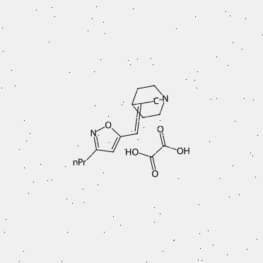 CCCc1cc(/C=C2/CN3CCC2CC3)on1.O=C(O)C(=O)O